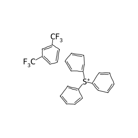 FC(F)(F)c1cccc(C(F)(F)F)c1.c1ccc([S+](c2ccccc2)c2ccccc2)cc1